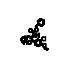 C=COc1ccc([C@@H](O)[C@@H](CN2CCCC2)NC(=O)OCc2ccccc2)cc1Cl